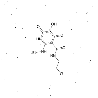 CCNc1[nH]c(=O)n(O)c(=O)c1C(=O)NCCCl